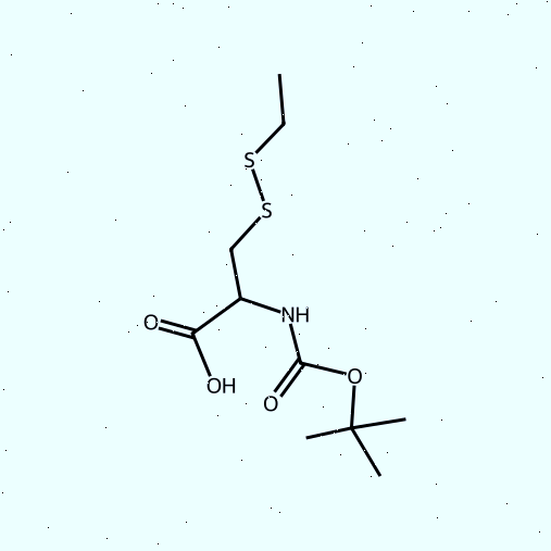 CCSSCC(NC(=O)OC(C)(C)C)C(=O)O